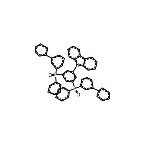 O=P(c1ccccc1)(c1cccc(-c2ccccc2)c1)c1cc(-n2c3ccccc3c3ccccc32)cc(P(=O)(c2ccccc2)c2cccc(-c3ccccc3)c2)c1